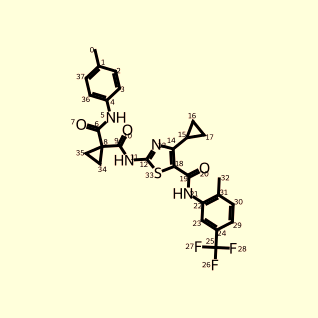 Cc1ccc(NC(=O)C2(C(=O)Nc3nc(C4CC4)c(C(=O)Nc4cc(C(F)(F)F)ccc4C)s3)CC2)cc1